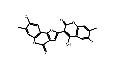 Cc1cc2oc(=O)c(-c3cc4c(=O)oc5cc(C)c(Cl)cc5c4o3)c(O)c2cc1Cl